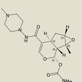 CNC(=O)O[C@@H]1OC=C(C(=O)NN2CCN(C)CC2)[C@H]2C[C@@H]3O[C@]3(C)[C@H]12